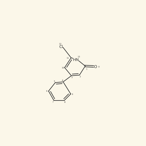 O=c1cc(-c2ccccc2)cc(Cl)[nH]1